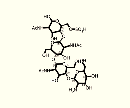 CC(=O)NC1C(O)O[C@@H](COS(=O)(=O)O)[C@@H](O[C@@H]2OC(CO)[C@@H](O[C@@H]3O[C@@H](CO)[C@@H](O[C@@H]4OC(CO)[C@@H](O)[C@H](O)C4N)C(O)C3NC(C)=O)[C@H](O)C2NC(C)=O)C1O